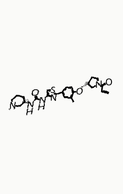 C=CC(=O)N1CC[C@@H](COc2ccc(-c3nc(NC(=O)N[C@H]4CCCN(C)C4)cs3)cc2C)C1